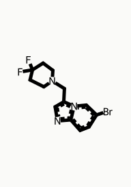 FC1(F)CCN(Cc2cnc3ccc(Br)cn23)CC1